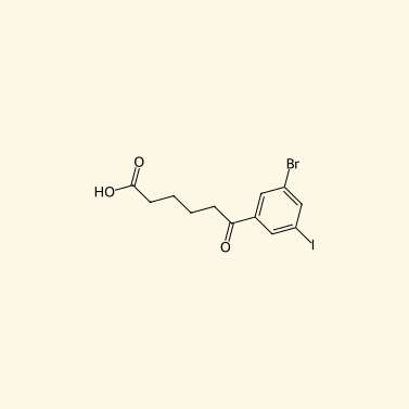 O=C(O)CCCCC(=O)c1cc(Br)cc(I)c1